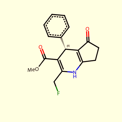 COC(=O)C1=C(CF)NC2=C(C(=O)CC2)[C@H]1c1ccccc1